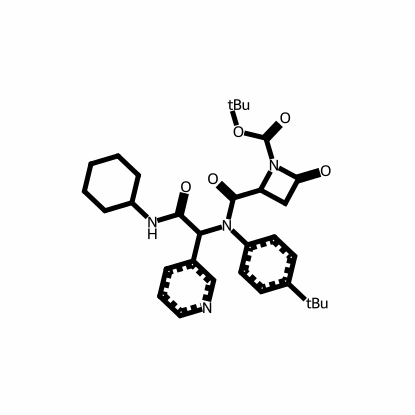 CC(C)(C)OC(=O)N1C(=O)CC1C(=O)N(c1ccc(C(C)(C)C)cc1)C(C(=O)NC1CCCCC1)c1cccnc1